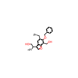 CCCC(CO)c1coc2c(CO)c(OCc3ccccc3)c(CC(C)C)cc12